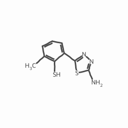 Cc1cccc(-c2nnc(N)s2)c1S